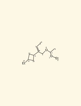 CCOC(C)OCC(=CI)C1CC(CC)C1